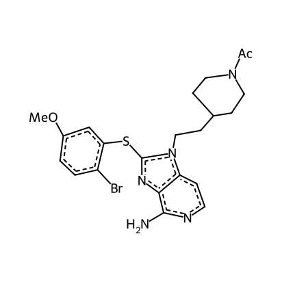 COc1ccc(Br)c(Sc2nc3c(N)nccc3n2CCC2CCN(C(C)=O)CC2)c1